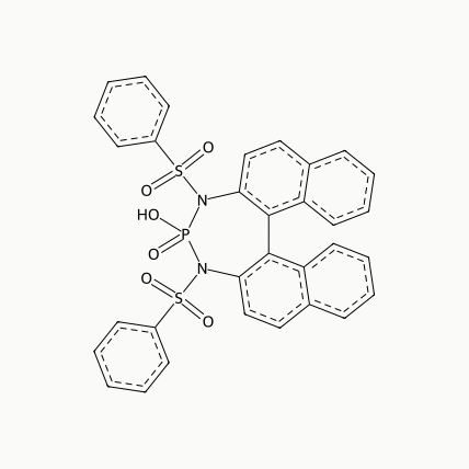 O=P1(O)N(S(=O)(=O)c2ccccc2)c2ccc3ccccc3c2-c2c(ccc3ccccc23)N1S(=O)(=O)c1ccccc1